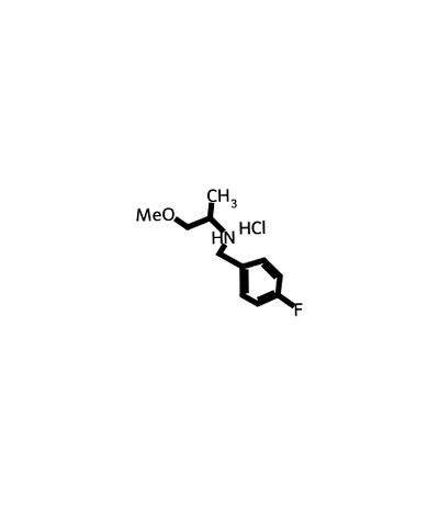 COCC(C)NCc1ccc(F)cc1.Cl